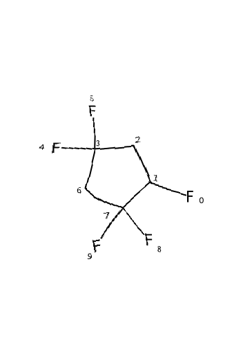 FC1CC(F)(F)CC1(F)F